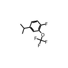 CC(C)c1ccc(F)c(OC(F)(F)F)c1